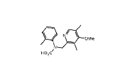 COc1c(C)cnc(CN(C(=O)O)c2ccccc2C)c1C